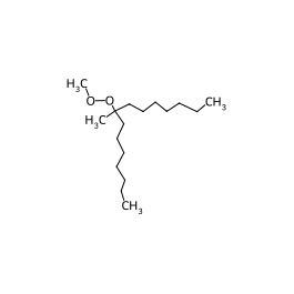 CCCCCCCC(C)(CCCCCCC)OOC